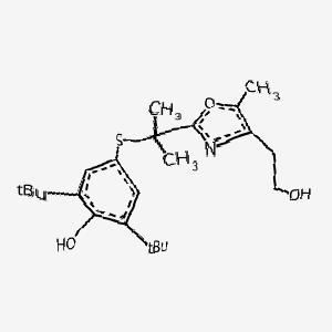 Cc1oc(C(C)(C)Sc2cc(C(C)(C)C)c(O)c(C(C)(C)C)c2)nc1CCO